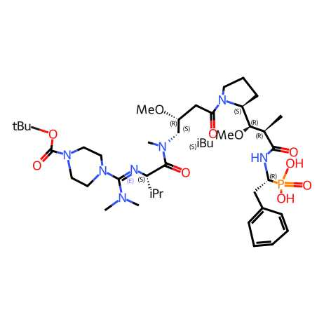 CC[C@H](C)[C@@H]([C@@H](CC(=O)N1CCC[C@H]1[C@H](OC)[C@@H](C)C(=O)N[C@@H](Cc1ccccc1)P(=O)(O)O)OC)N(C)C(=O)[C@@H](/N=C(\N(C)C)N1CCN(C(=O)OC(C)(C)C)CC1)C(C)C